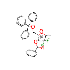 CC1O[C@H](COC(c2ccccc2)(c2ccccc2)c2ccccc2)C(OC(=O)c2ccccc2)C1(F)F